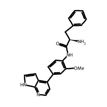 COc1cc(-c2ccnc3[nH]ccc23)ccc1NC(=O)[C@H](N)Cc1ccccc1